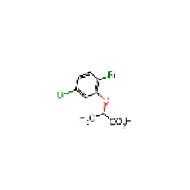 CC(Oc1cc(Br)ccc1Br)C(=O)O